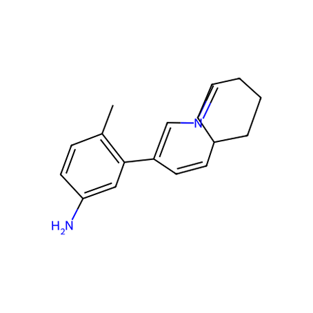 C=N/C=C(\C=C/C1CCCCC1)c1cc(N)ccc1C